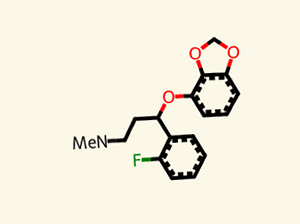 CNCCC(Oc1cccc2c1OCO2)c1ccccc1F